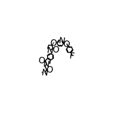 CN(C)C(=O)CN1Cc2ccc(N3CC[C@@H](Oc4ccc(Oc5ccc(F)cc5)nc4)C3=O)cc2C1=O